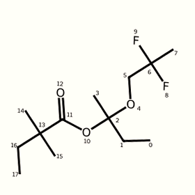 CCC(C)(OCC(C)(F)F)OC(=O)C(C)(C)CC